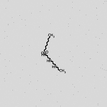 CCCCCCCCCS(=O)(=O)NCCCNCCCNCCC